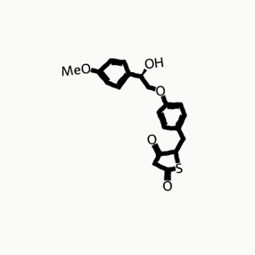 COc1ccc([C@@H](O)COc2ccc(CC3SC(=O)CC3=O)cc2)cc1